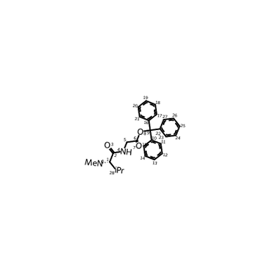 CN[C@H](C(=O)NCC(=O)OC(c1ccccc1)(c1ccccc1)c1ccccc1)C(C)C